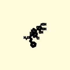 CC(CCc1ccccc1)Nc1nc(Cl)nc2c1ncn2[C@@H]1O[C@H](CO)C(O)C1O